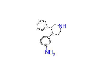 Nc1cccc(C2CCNCC2c2ccccc2)c1